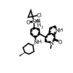 Cn1cc(-c2cc([SH](N)(=O)C3(Cl)CC3)ccc2N[C@H]2CC[C@H](C)CC2)c2cc[nH]c2c1=O